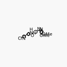 COc1cc2ncnc(C3CCN(C(=O)Nc4ccc(-c5ccc(Cl)nc5)cc4)CC3)c2cc1OC